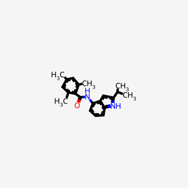 Cc1cc(C)c(C(=O)Nc2cccc3[nH]c(C(C)C)cc23)c(C)c1